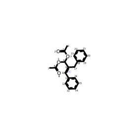 CC(=O)OC(OC(C)=O)/C(=C/c1ccccc1)Cc1ccccc1